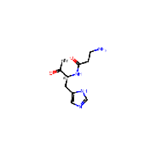 CCCC(=O)[C@H](Cc1cnc[nH]1)NC(=O)CCN